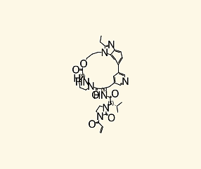 C=CC(=O)N1CCN([C@H](C(=O)N[C@H]2Cc3cncc(c3)-c3ccc4nc(CC)n(c4c3)CCCOC(=O)[C@@H]3CCCN(N3)C2=O)C(C)C)C1=O